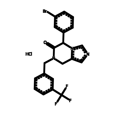 Cl.O=C1C(c2cccc(Br)c2)n2cncc2CN1Cc1cccc(C(F)(F)F)c1